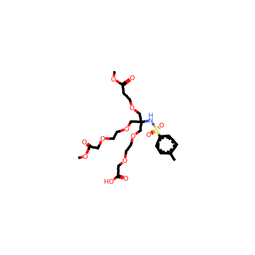 COC(=O)CCOCC(COCCOCC(=O)O)(COCCOCC(=O)OC)NS(=O)(=O)c1ccc(C)cc1